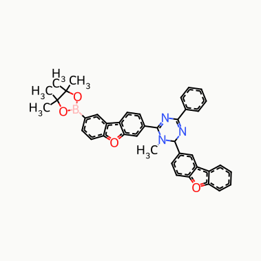 CN1C(c2ccc3c(c2)oc2ccc(B4OC(C)(C)C(C)(C)O4)cc23)=NC(c2ccccc2)=NC1c1ccc2oc3ccccc3c2c1